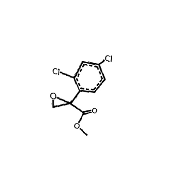 COC(=O)C1(c2ccc(Cl)cc2Cl)CO1